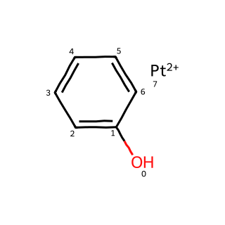 Oc1ccccc1.[Pt+2]